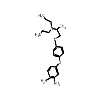 CCCN(CCC)C(C)COc1ccc(Oc2ccc(N)c(N)c2)cc1